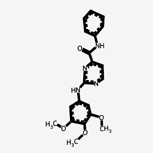 COc1cc(Nc2nccc(C(=O)Nc3ccccc3)n2)cc(OC)c1OC